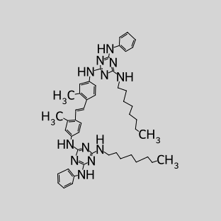 CCCCCCCCNc1nc(Nc2ccccc2)nc(Nc2ccc(C=Cc3ccc(Nc4nc(NCCCCCCCC)nc(Nc5ccccc5)n4)cc3C)c(C)c2)n1